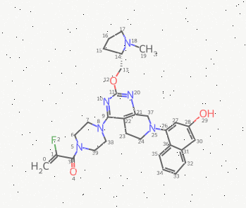 C=C(F)C(=O)N1CCN(c2nc(OC[C@@H]3CCCN3C)nc3c2CCN(c2cc(O)cc4ccccc24)C3)CC1